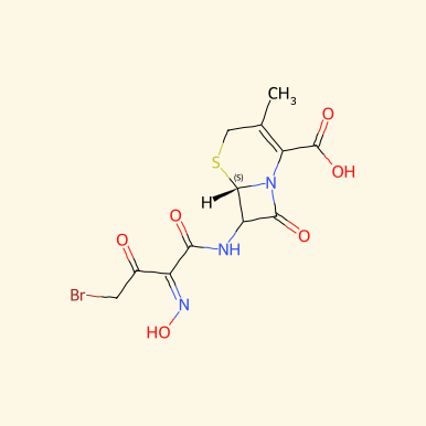 CC1=C(C(=O)O)N2C(=O)C(NC(=O)C(=NO)C(=O)CBr)[C@@H]2SC1